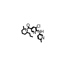 CCCC1CCCC(C)N1C(=O)c1cnc(Nc2ccc(C)nc2)c(Cl)c1